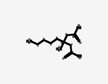 NCCCCC(N)(CC(=O)O)CC(=O)O